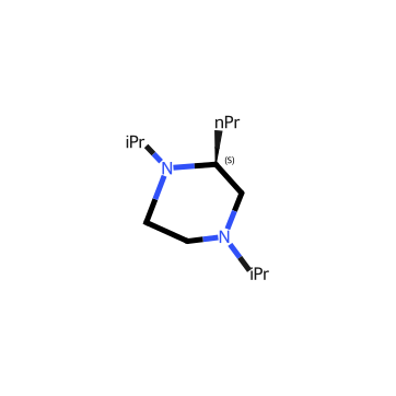 CCC[C@H]1CN(C(C)C)CCN1C(C)C